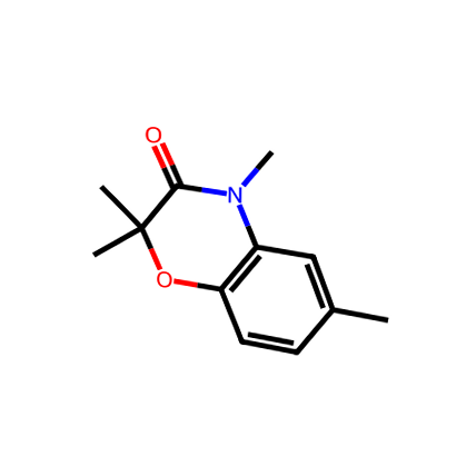 Cc1ccc2c(c1)N(C)C(=O)C(C)(C)O2